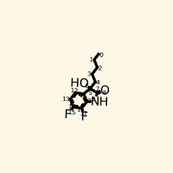 CCCCCC1(O)C(=O)Nc2c1ccc(F)c2F